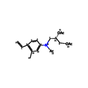 C=Cc1ccc(N(C[C@@H](COC(C)=O)OC(C)=O)C(C)=O)cc1C